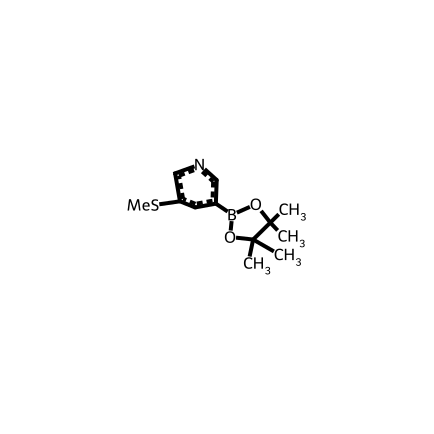 CSc1cncc(B2OC(C)(C)C(C)(C)O2)c1